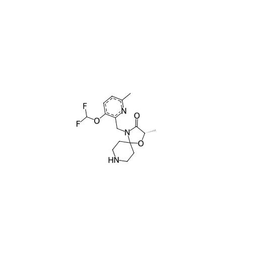 Cc1ccc(OC(F)F)c(CN2C(=O)[C@H](C)OC23CCNCC3)n1